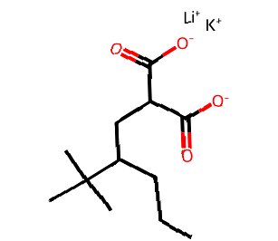 CCCC(CC(C(=O)[O-])C(=O)[O-])C(C)(C)C.[K+].[Li+]